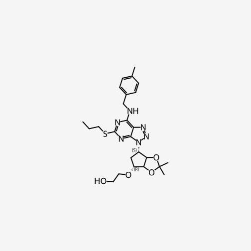 CCCSc1nc(NCc2ccc(C)cc2)c2nnn([C@H]3C[C@@H](OCCO)C4OC(C)(C)OC43)c2n1